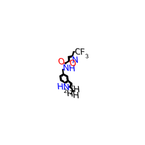 [2H]C([2H])([2H])c1cc2cc(CNC(=O)c3cc(CC(F)(F)F)no3)ccc2[nH]1